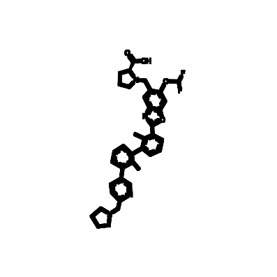 Cc1c(-c2ccc(CN3CCCC3)nc2)cccc1-c1cccc(-c2nc3cc(CN4CCC[C@H]4C(=O)O)c(OC(F)F)cc3o2)c1C